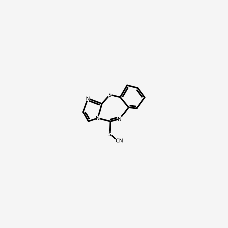 N#CSC1=Nc2ccccc2Sc2nccn21